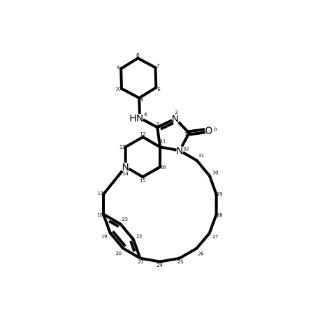 O=C1N=C(NC2CCCCC2)C23CCN(CC2)Cc2ccc(cc2)CCCCCCCCN13